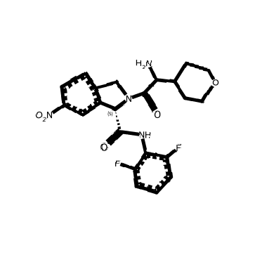 NC(C(=O)N1Cc2ccc([N+](=O)[O-])cc2[C@H]1C(=O)Nc1c(F)cccc1F)C1CCOCC1